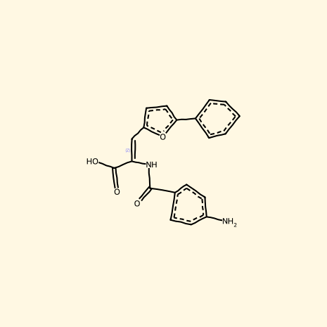 Nc1ccc(C(=O)N/C(=C\c2ccc(-c3ccccc3)o2)C(=O)O)cc1